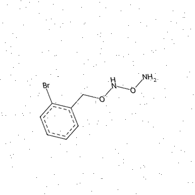 NONOCc1ccccc1Br